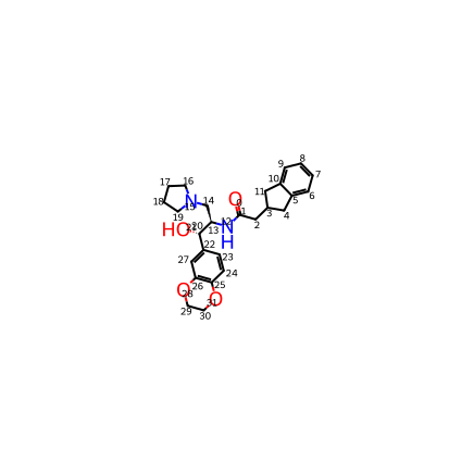 O=C(CC1Cc2ccccc2C1)N[C@H](CN1CCCC1)[C@@H](O)c1ccc2c(c1)OCCO2